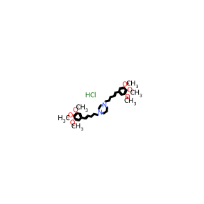 COc1cc(C=CCCCN2CCCN(CCCC=Cc3cc(OC)c(OC)c(OC)c3)CC2)cc(OC)c1OC.Cl